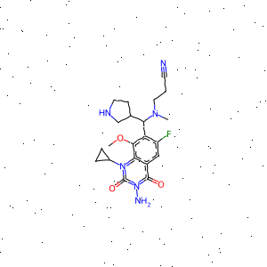 COc1c(C(C2CCNC2)N(C)CCC#N)c(F)cc2c(=O)n(N)c(=O)n(C3CC3)c12